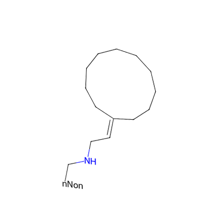 CCCCCCCCCCNCC=C1CCCCCCCCCC1